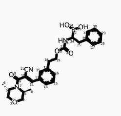 C[C@H]1COC[C@H](C)N1C(=O)C(C#N)=Cc1cccc(CCOC(=O)NC(Cc2ccccc2)B(O)O)c1